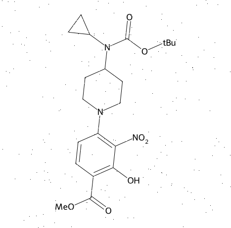 COC(=O)c1ccc(N2CCC(N(C(=O)OC(C)(C)C)C3CC3)CC2)c([N+](=O)[O-])c1O